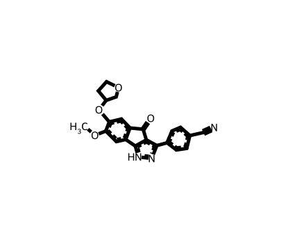 COc1cc2c(cc1OC1CCOC1)C(=O)c1c(-c3ccc(C#N)cc3)n[nH]c1-2